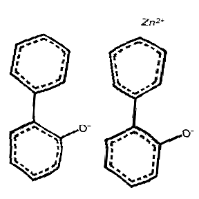 [O-]c1ccccc1-c1ccccc1.[O-]c1ccccc1-c1ccccc1.[Zn+2]